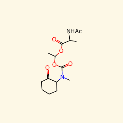 CC(=O)NC(C)C(=O)OC(C)OC(=O)N(C)C1CCCCC1=O